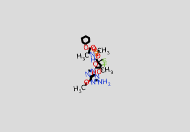 CCOc1nc(N)nc2c1ncn2[C@@H]1O[C@](CF)(COP(C)(=O)N[C@@H](C)C(=O)OC2CCCCC2)[C@@H](F)[C@@]1(C)O